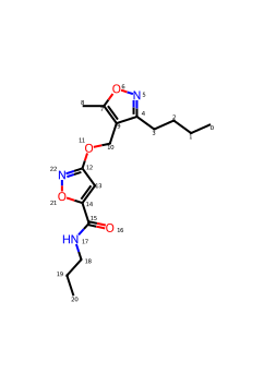 CCCCc1noc(C)c1COc1cc(C(=O)NCCC)on1